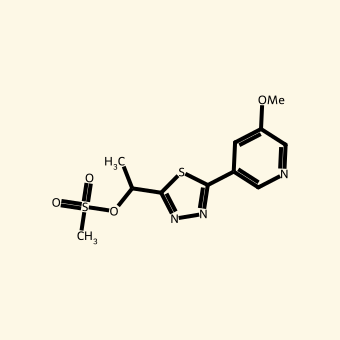 COc1cncc(-c2nnc(C(C)OS(C)(=O)=O)s2)c1